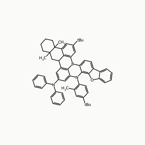 Cc1cc(C(C)(C)C)ccc1N1c2cc(N(c3ccccc3)c3ccccc3)cc3c2B(c2cc(C(C)(C)C)cc4c2C3CC2(C)CCCCC42C)c2ccc3c(oc4ccccc43)c21